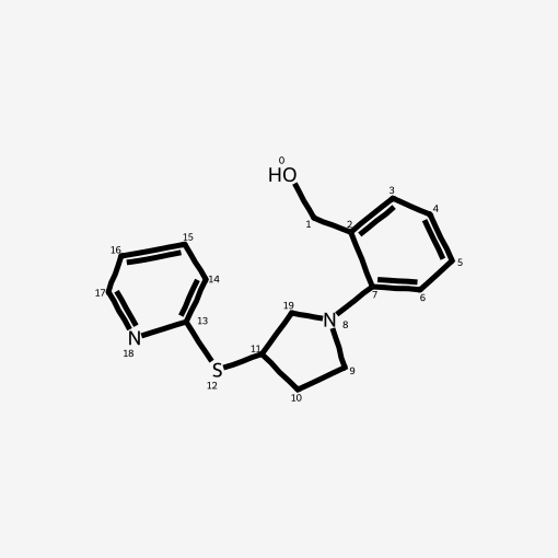 OCc1ccccc1N1CCC(Sc2ccccn2)C1